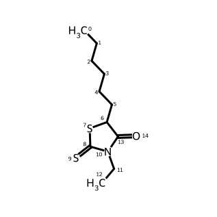 CCCCCCC1SC(=S)N(CC)C1=O